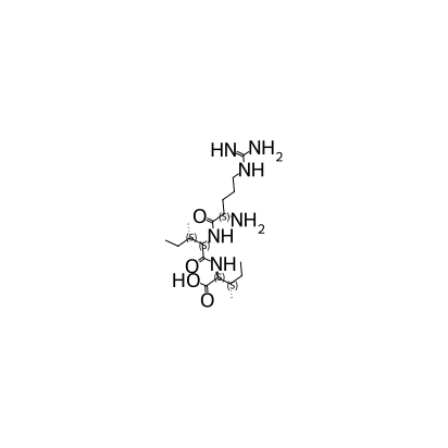 CC[C@H](C)[C@H](NC(=O)[C@@H](NC(=O)[C@@H](N)CCCNC(=N)N)[C@@H](C)CC)C(=O)O